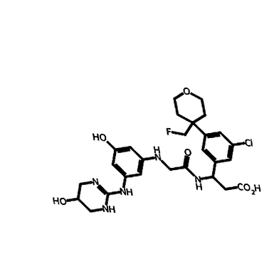 O=C(O)CC(NC(=O)CNc1cc(O)cc(NC2=NCC(O)CN2)c1)c1cc(Cl)cc(C2(CF)CCOCC2)c1